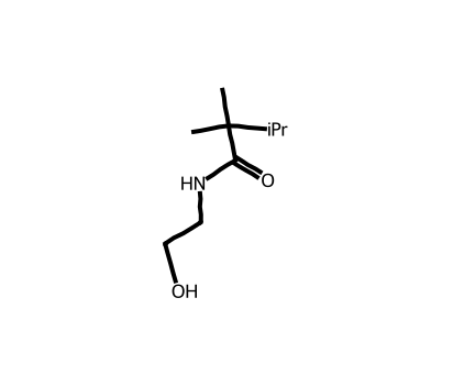 CC(C)C(C)(C)C(=O)NCCO